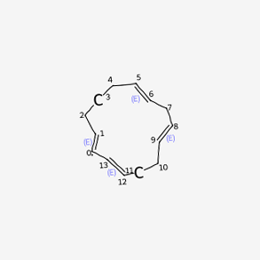 [C]1=C/CCC/C=C/C/C=C/CC/C=C/1